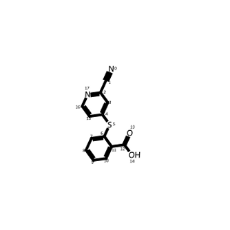 N#Cc1cc(Sc2ccccc2C(=O)O)ccn1